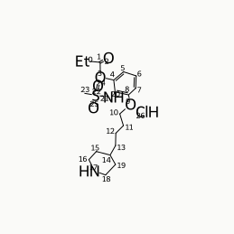 CCC(=O)Oc1cccc(OCCCCC2CCNCC2)c1NS(C)(=O)=O.Cl